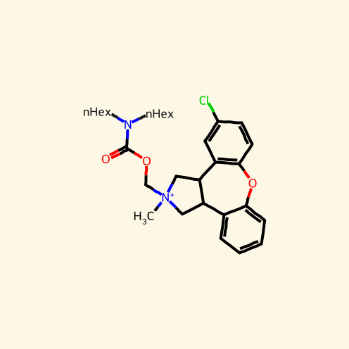 CCCCCCN(CCCCCC)C(=O)OC[N+]1(C)CC2c3ccccc3Oc3ccc(Cl)cc3C2C1